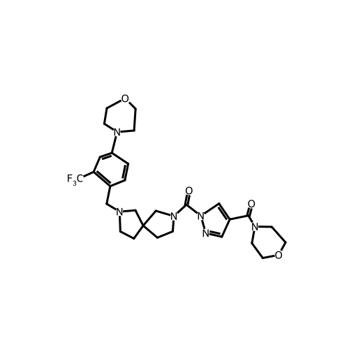 O=C(c1cnn(C(=O)N2CCC3(CCN(Cc4ccc(N5CCOCC5)cc4C(F)(F)F)C3)C2)c1)N1CCOCC1